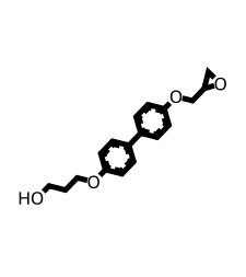 OCCCOc1ccc(-c2ccc(OCC3CO3)cc2)cc1